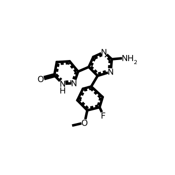 COc1ccc(-c2nc(N)ncc2-c2ccc(=O)[nH]n2)cc1F